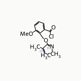 C/C=C(C)\C(=N/C)OCc1c(OC)cccc1C(=O)Cl